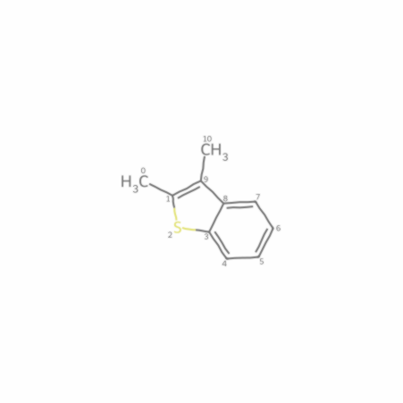 Cc1sc2ccccc2c1C